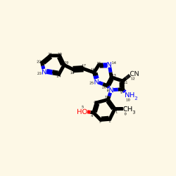 Cc1ccc(O)cc1-n1c(N)c(C#N)c2ncc(C#Cc3cccnc3)nc21